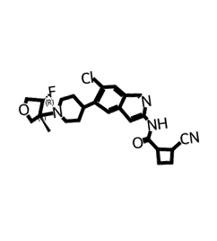 C[C@@]1(N2CCC(c3cc4cc(NC(=O)C5CCC5C#N)ncc4cc3Cl)CC2)COC[C@@H]1F